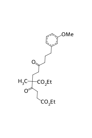 CCOC(=O)CCC(=O)C(C)(CCC(=O)CCCc1cccc(OC)c1)C(=O)OCC